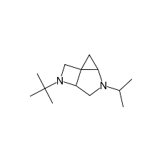 CC(C)N1CC2N(C(C)(C)C)CC23CC13